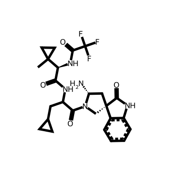 CC1([C@@H](NC(=O)C(F)(F)F)C(=O)NC(CC2CC2)C(=O)N2C[C@]3(C[C@H]2N)C(=O)Nc2ccccc23)CC1